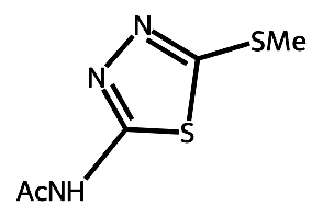 [CH2]Sc1nnc(NC(C)=O)s1